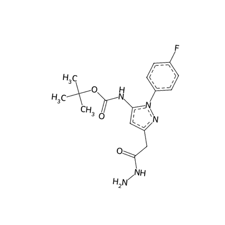 CC(C)(C)OC(=O)Nc1cc(CC(=O)NN)nn1-c1ccc(F)cc1